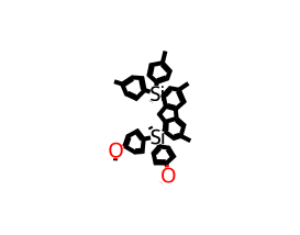 COc1ccc([Si](C)(c2ccc(OC)cc2)c2cc(C)cc3c2Cc2c-3cc(C)cc2[Si](C)(c2ccc(C)cc2)c2ccc(C)cc2)cc1